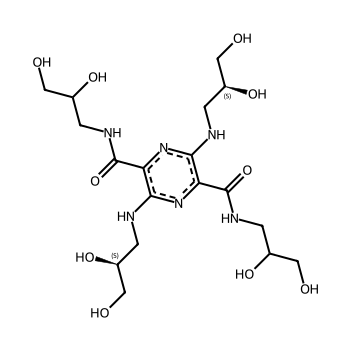 O=C(NCC(O)CO)c1nc(NC[C@H](O)CO)c(C(=O)NCC(O)CO)nc1NC[C@H](O)CO